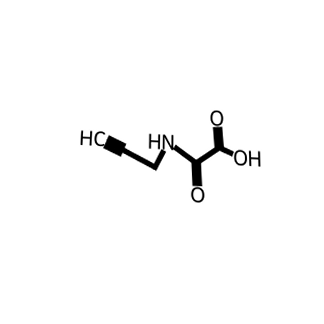 C#CCNC(=O)C(=O)O